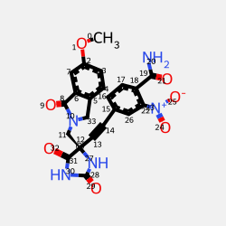 COc1ccc2c(c1)C(=O)N(C[C@@]1(C#Cc3ccc(C(N)=O)c([N+](=O)[O-])c3)NC(=O)NC1=O)C2